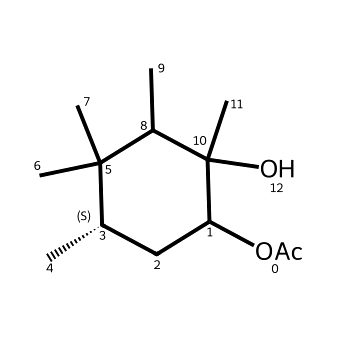 CC(=O)OC1C[C@H](C)C(C)(C)C(C)C1(C)O